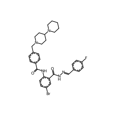 O=C(Nc1ccc(Br)cc1C(=O)NN=Cc1ccc(F)cc1)c1ccc(CN2CCC(N3CCCCC3)CC2)cc1